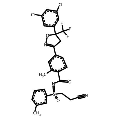 Cc1cccc(S(=O)(CCC#N)=NC(=O)c2ccc(C3=NOC(c4cc(Cl)cc(Cl)c4)(C(F)(F)F)C3)cc2C)c1